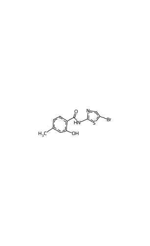 Cc1ccc(C(=O)Nc2ncc(Br)s2)c(O)c1